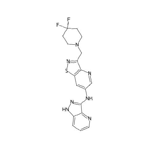 FC1(F)CCN(Cc2nsc3cc(Nc4n[nH]c5cccnc45)cnc23)CC1